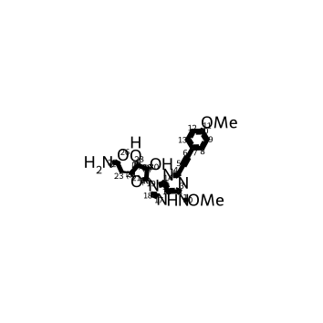 CONc1nc(C#Cc2ccc(OC)cc2)nc2c1ncn2[C@@H]1O[C@@H](CC(N)=O)[C@H](O)[C@H]1O